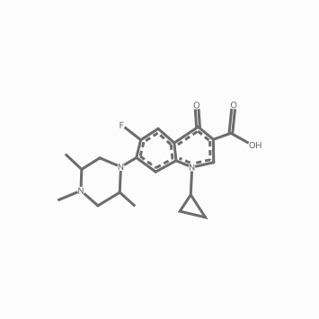 CC1CN(c2cc3c(cc2F)c(=O)c(C(=O)O)cn3C2CC2)C(C)CN1C